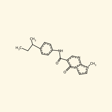 CCC(C)c1ccc(NC(=O)c2cnc3n(C)ccn3c2=O)cc1